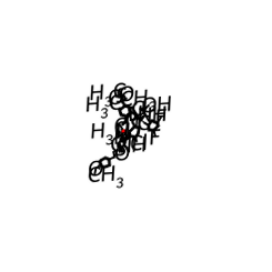 COc1ccc(CCS(=O)(=O)Nc2nn(C)c3c(-n4c([C@H](Cc5cc(F)cc(F)c5)NC(=O)O)nc5cc(C(C)(C)S(C)(=O)=O)ccc5c4=O)ccc(Cl)c23)cc1